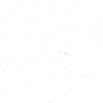 [Na].[Na].c1ccc(Sc2ccccc2)cc1